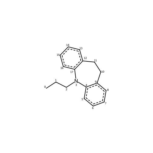 CCCN1c2ccccc2CCc2ccccc21